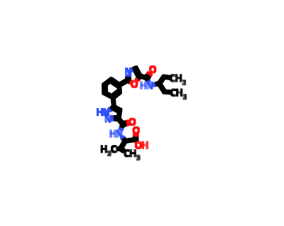 CCC(CC)NC(=O)c1cnc(-c2cccc(-c3cc(C(=O)NC(C(=O)O)C(C)C)n[nH]3)c2)o1